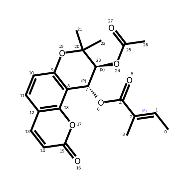 C/C=C(\C)C(=O)O[C@@H]1c2c(ccc3ccc(=O)oc23)OC(C)(C)[C@H]1OC(C)=O